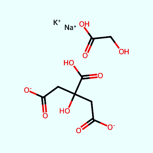 O=C(O)CO.O=C([O-])CC(O)(CC(=O)[O-])C(=O)O.[K+].[Na+]